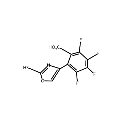 O=C(O)c1c(F)c(F)c(F)c(F)c1-c1coc(S)n1